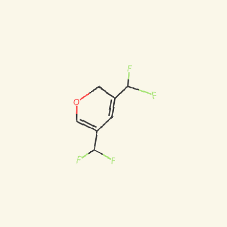 FC(F)C1=COCC(C(F)F)=C1